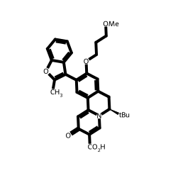 COCCCOc1cc2c(cc1-c1c(C)oc3ccccc13)-c1cc(=O)c(C(=O)O)cn1[C@H](C(C)(C)C)C2